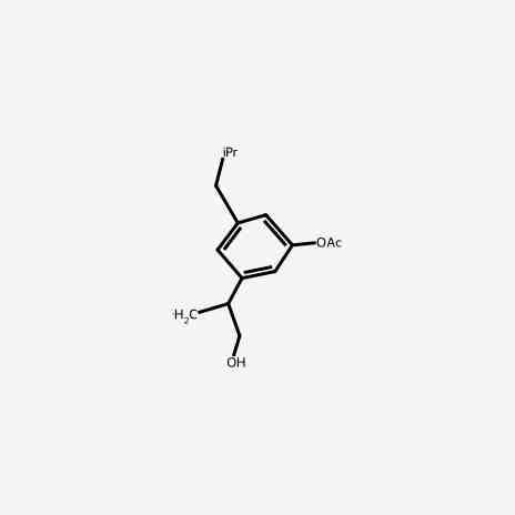 [CH2]C(CO)c1cc(CC(C)C)cc(OC(C)=O)c1